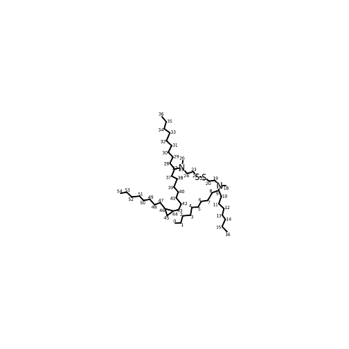 CCCCCCCCCC(CCCCCCC)N(C)CCSSCCN(C)C(CCCCCCCCC)CCCCCCCC1CC1CCCCCCCC